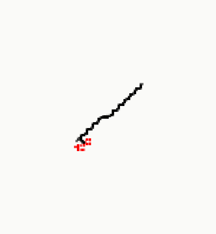 CCCCCCCCCCCCC#CCCCCCCC[C@H](C)C(=O)O